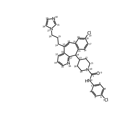 O=C(Nc1ccc(Cl)cc1)N1CCC(C2c3ccc(Cl)cc3C=C(CCCn3ccnc3)c3cccnc32)CC1